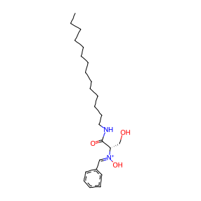 CCCCCCCCCCCCCCNC(=O)[C@H](CO)[N+](O)=Cc1ccccc1